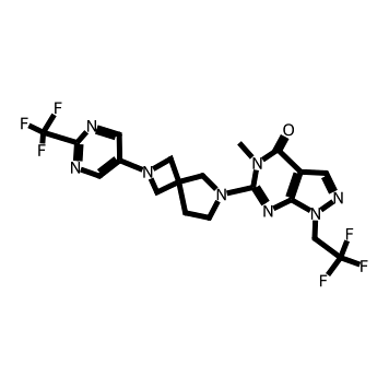 Cn1c(N2CCC3(CN(c4cnc(C(F)(F)F)nc4)C3)C2)nc2c(cnn2CC(F)(F)F)c1=O